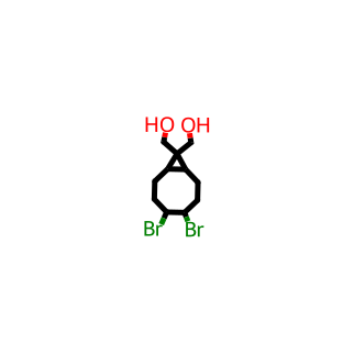 OCC1(CO)C2CCC(Br)C(Br)CCC21